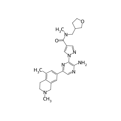 Cc1cc(-c2cnc(N)c(-n3cc(C(=O)N(C)CC4CCOC4)cn3)n2)cc2c1CCN(C)C2